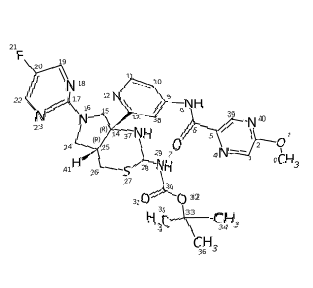 COc1cnc(C(=O)Nc2ccnc([C@]34CN(c5ncc(F)cn5)C[C@H]3CSC(NC(=O)OC(C)(C)C)N4)c2)cn1